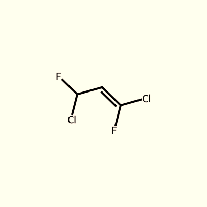 F/C(Cl)=C\C(F)Cl